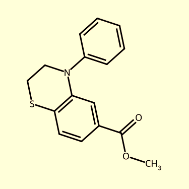 COC(=O)c1ccc2c(c1)N(c1ccccc1)CCS2